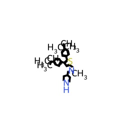 CN(Cc1cc(-c2ccc(C(C)(C)C)cc2)c(-c2ccc(C(C)(C)C)cc2)s1)CC1CCNCC1